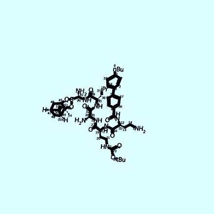 CCCCc1ccc(-c2ccc(C(=O)N[C@@H](CCN)C(=O)N[C@@H](CCNC(=O)OC(C)(C)C)C(=O)N[C@@H](N)C(=O)N[C@@H](CC(C)C)C(=O)N[C@@H](N)B3OC4C[C@@H]5C[C@@H](C5(C)C)[C@]4(C)O3)cc2)cc1